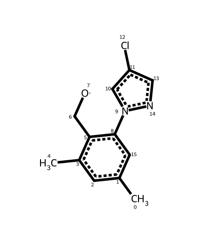 Cc1cc(C)c(C[O])c(-n2cc(Cl)cn2)c1